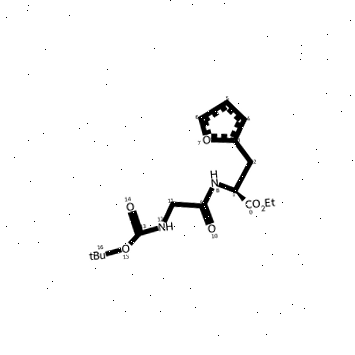 CCOC(=O)[C@H](Cc1ccco1)NC(=O)CNC(=O)OC(C)(C)C